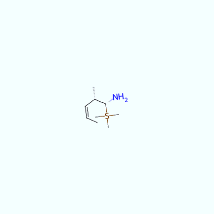 C/C=C\[C@H](C)[C@H](N)S(C)(C)C